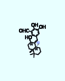 C[C@@H]1CC[C@@]2(C)C(C)(C)CCC[C@]2(C)/C1=C/c1cc(O)c(O)c(C=O)c1O